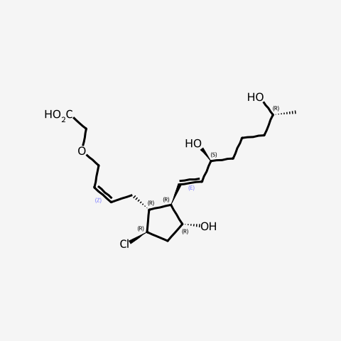 C[C@@H](O)CCC[C@H](O)/C=C/[C@@H]1[C@@H](C/C=C\COCC(=O)O)[C@H](Cl)C[C@H]1O